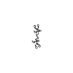 [2H]C([2H])(CSSCC([2H])([2H])N(C=O)C=O)N(C=O)C=O